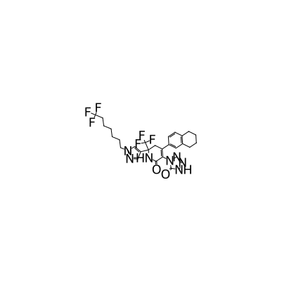 O=C1NC(c2cnn(CCCCCCC(F)(F)F)c2)(C(F)(F)F)CC(c2ccc3c(c2)CCCC3)=C1n1nn[nH]c1=O